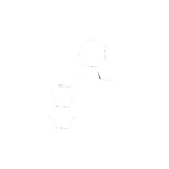 CC[C@@H]1CNCCCN1S(=O)(=O)c1ccc2cnccc2c1